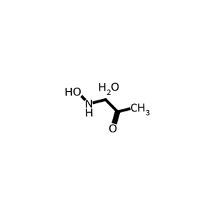 CC(=O)CNO.O